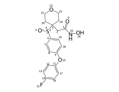 O=C(CC1([S+]([O-])c2ccc(Oc3ccc(F)cc3)cc2)CCOCC1)NO